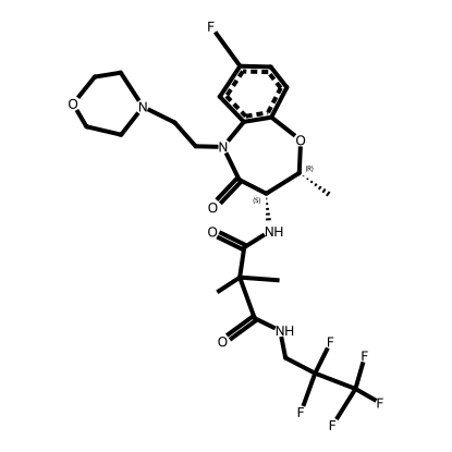 C[C@H]1Oc2ccc(F)cc2N(CCN2CCOCC2)C(=O)[C@H]1NC(=O)C(C)(C)C(=O)NCC(F)(F)C(F)(F)F